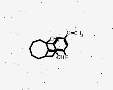 COc1cc(F)c2c(c1)C1(C)CCCCCC(C2)/C1=N\O